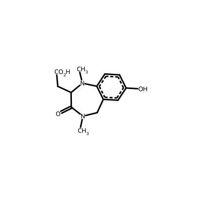 CN1Cc2cc(O)ccc2N(C)C(CC(=O)O)C1=O